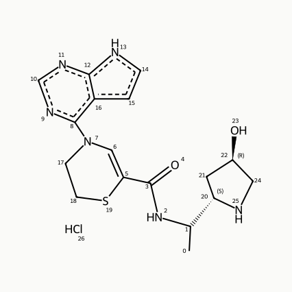 CC(NC(=O)C1=CN(c2ncnc3[nH]ccc23)CCS1)[C@@H]1C[C@@H](O)CN1.Cl